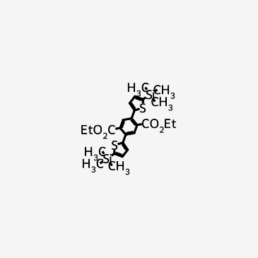 CCOC(=O)c1cc(-c2ccc([Si](C)(C)C)s2)c(C(=O)OCC)cc1-c1ccc([Si](C)(C)C)s1